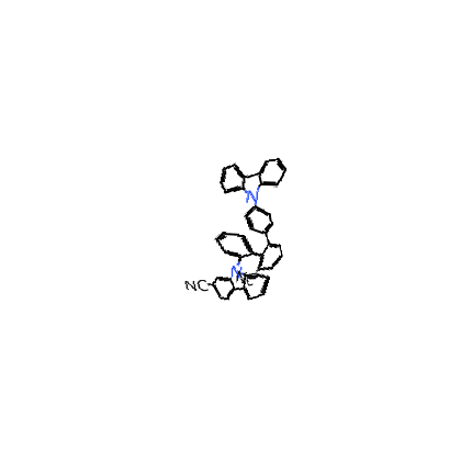 N#Cc1ccc2c3ccccc3n(-c3ccccc3-c3c(C#N)cccc3-c3ccc(-n4c5ccccc5c5ccccc54)cc3)c2c1